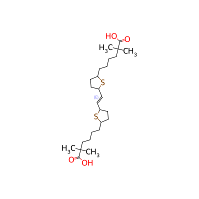 CC(C)(CCCCC1CCC(/C=C/C2CCC(CCCCC(C)(C)C(=O)O)S2)S1)C(=O)O